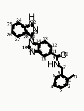 Cc1ccccc1CNC(=O)c1ccc2c(c1)ncn2-c1n[nH]c2ccccc12